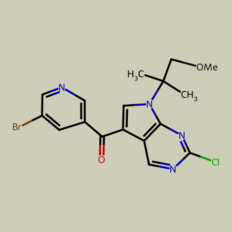 COCC(C)(C)n1cc(C(=O)c2cncc(Br)c2)c2cnc(Cl)nc21